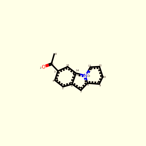 CC(=O)c1ccc2cc3ccccn3c2c1